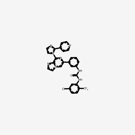 O=C(Nc1cccc(-c2cn3ccnc3c(-n3ccnc3-c3ccncc3)n2)c1)Nc1cc(Cl)ccc1C(F)(F)F